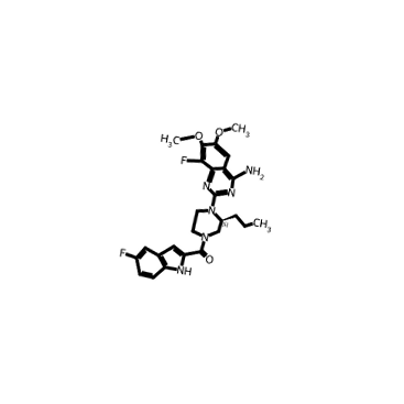 CCC[C@H]1CN(C(=O)c2cc3cc(F)ccc3[nH]2)CCN1c1nc(N)c2cc(OC)c(OC)c(F)c2n1